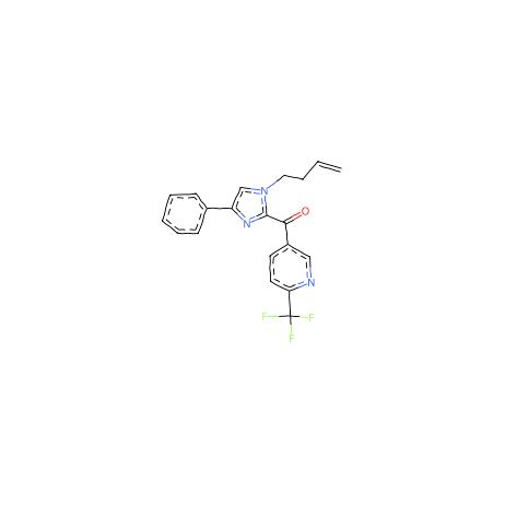 C=CCCn1cc(-c2ccccc2)nc1C(=O)c1ccc(C(F)(F)F)nc1